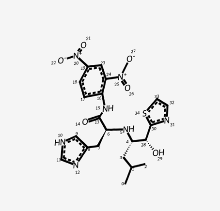 CC(C)C[C@H](N[C@@H](Cc1c[nH]cn1)C(=O)Nc1ccc([N+](=O)[O-])cc1[N+](=O)[O-])[C@@H](O)c1nccs1